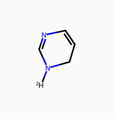 [2H]N1C=NC=CC1